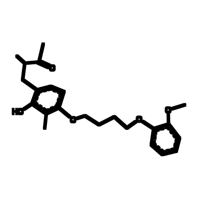 COc1ccccc1OCCCCOc1ccc(CC(C)C(C)=O)c(O)c1C